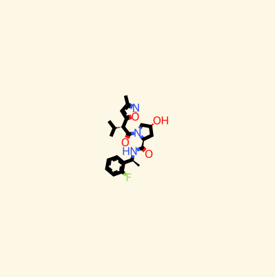 Cc1cc([C@H](C(=O)N2C[C@H](O)C[C@H]2C(=O)N[C@@H](C)c2ccccc2F)C(C)C)on1